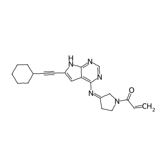 C=CC(=O)N1CC/C(=N/c2ncnc3[nH]c(C#CC4CCCCC4)cc23)C1